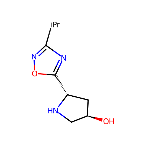 CC(C)c1noc([C@@H]2C[C@@H](O)CN2)n1